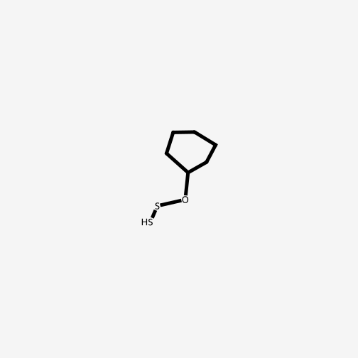 SSOC1CCCCC1